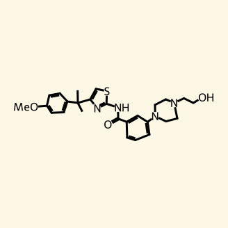 COc1ccc(C(C)(C)c2csc(NC(=O)c3cccc(N4CCN(CCO)CC4)c3)n2)cc1